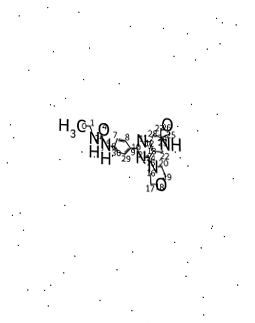 CCNC(=O)Nc1ccc(-c2nc3c(c(N4CCOCC4)n2)CNC2(COC2)C3)cc1